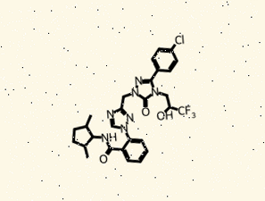 CC1CCC(C)C1NC(=O)c1ccccc1-n1cnc(Cn2nc(-c3ccc(Cl)cc3)n(CC(O)C(F)(F)F)c2=O)n1